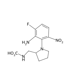 Nc1c(F)ccc([N+](=O)[O-])c1N1CCCC1CNC(=O)O